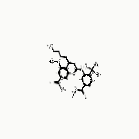 CCCCCC(CC(=O)Nc1cc(C(=O)OC)ccc1C(C)(C)C)c1ccc(C(C)=O)cc1OC